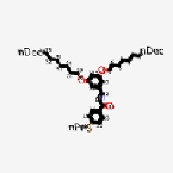 CCCCCCCCCCCCCCCCCOc1cc(/C=C/C(=O)c2ccc(SCCC)cc2)cc(OCCCCCCCCCCCCCCCCC)c1